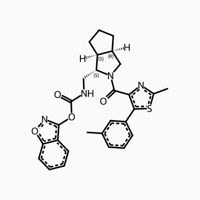 Cc1cccc(-c2sc(C)nc2C(=O)N2C[C@@H]3CCC[C@@H]3[C@H]2CNC(=O)Oc2noc3ccccc23)c1